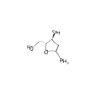 OC[C@H]1OC(P)C[C@@H]1O